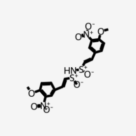 COc1ccc(/C=C/[S+]([O-])N[S+]([O-])/C=C/c2ccc(OC)c([N+](=O)[O-])c2)cc1[N+](=O)[O-]